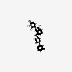 Cc1cccc(N2CCN(Cc3cccc4c3CN(C3CCC(=O)NC3=O)C4=S)CC2)c1